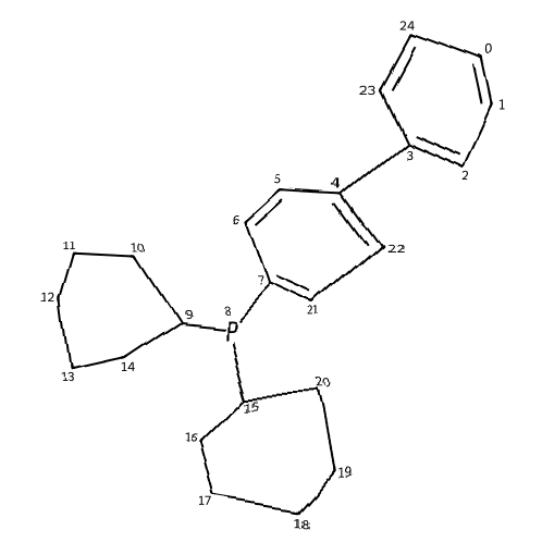 c1ccc(-c2ccc(P(C3CCCCC3)C3CCCCC3)cc2)cc1